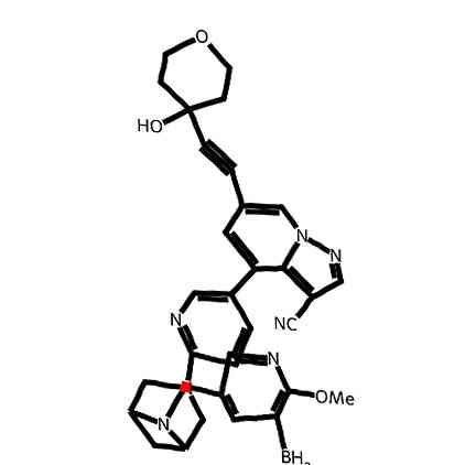 Bc1cc(CN2C3CC2CN(c2ccc(-c4cc(C#CC5(O)CCOCC5)cn5ncc(C#N)c45)cn2)C3)cnc1OC